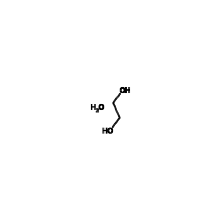 O.OCCO